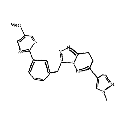 COc1cnc(-c2cccc(Cc3nnc4n3N=C(c3cnn(C)c3)CC4)c2)nc1